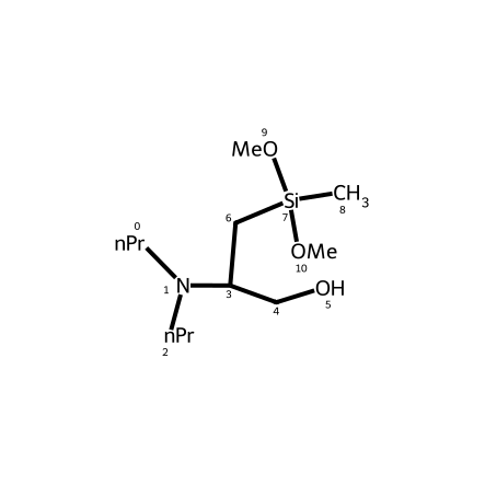 CCCN(CCC)C(CO)C[Si](C)(OC)OC